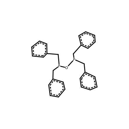 c1ccc(CP(Cc2ccccc2)OP(Cc2ccccc2)Cc2ccccc2)cc1